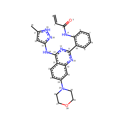 C=CC(=O)Nc1ccccc1-c1nc(Nc2cc(C)[nH]n2)c2ccc(N3CCOCC3)cc2n1